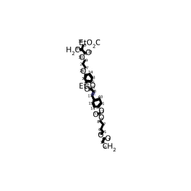 C=CC(=O)OCCCCOC(=O)Oc1ccc(/C=C/C(=O)Oc2ccc(OCCCOC(=O)C(=C)CC(=O)OCC)cc2CC)cc1